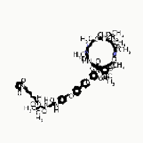 CO[C@H]1/C=C/O[C@@]2(C)Oc3c(C)c(O)c4c(=O)c(c5oc6cc(N7CCC(c8ccc(OCc9ccc(NC(=O)CNC(=O)C(NC(=O)CCCCCN%10C(=O)C=CC%10=O)C(C)C)cc9)cc8)CC7)cc(O)c6nc-5c4c3C2=O)NC(=O)/C(C)=C\C=C\[C@H](C)C[C@@H](C)C[C@@H](C)[C@H](OC(C)=O)[C@@H]1C